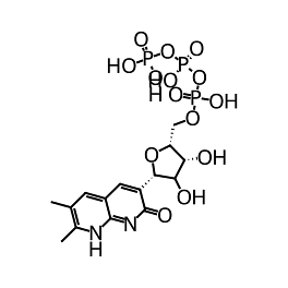 Cc1cc2cc([C@@H]3O[C@H](COP(=O)(O)OP(=O)(O)OP(=O)(O)O)[C@H](O)C3O)c(=O)nc-2[nH]c1C